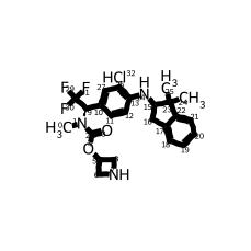 CN(C(=O)OC1CNC1)[C@@H](c1ccc(NC2Cc3ccccc3C2(C)C)cc1)C(F)(F)F.Cl